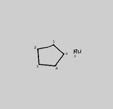 C1CCCC1.[Ru]